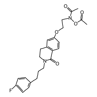 CC(=O)ON(CCOc1ccc2c(c1)CCN(CCCc1ccc(F)cc1)C2=O)C(C)=O